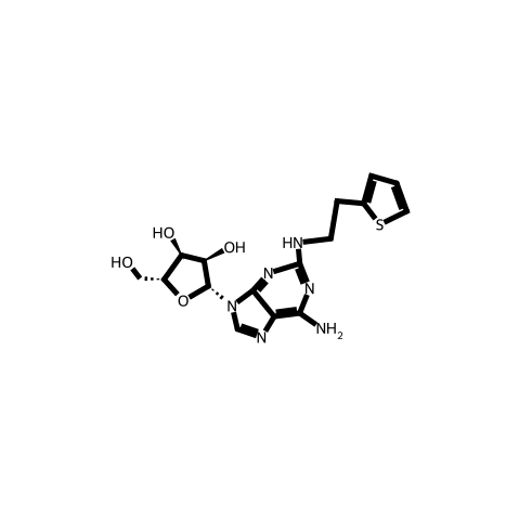 Nc1nc(NCCc2cccs2)nc2c1ncn2[C@@H]1O[C@H](CO)[C@@H](O)[C@H]1O